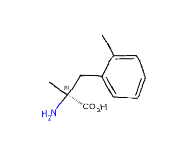 Cc1ccccc1C[C@](C)(N)C(=O)O